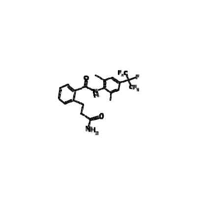 Cc1cc(C(F)(C(F)(F)F)C(F)(F)F)cc(C)c1NC(=O)c1ccccc1CCC(N)=O